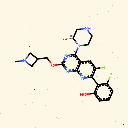 C[C@@H]1CNCCN1c1nc(OCC2CN(C)C2)nc2nc(-c3c(O)cccc3F)c(F)cc12